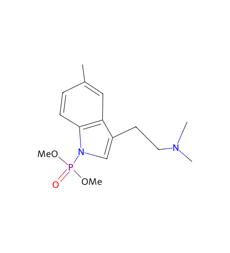 COP(=O)(OC)n1cc(CCN(C)C)c2cc(C)ccc21